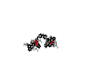 CCc1cccc2cc(O)cc(-c3ncc4c(N5CC6CCC(C5)N6C(=O)OC(C)(C)C)nc(OCCN5CCC(CC6CCN(c7cc(C(C(=O)N8CCCC8C(=O)NC(C)c8ccc(-c9ccnn9C)cc8)C(C)C)on7)CC6)CC5)nc4c3F)c12